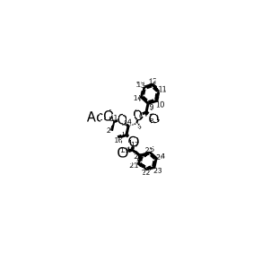 CC(=O)O[C@@H](C)O[C@H](COC(=O)c1ccccc1)C(C)OC(=O)c1ccccc1